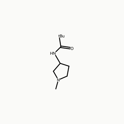 CN1CCC(NC(=O)C(C)(C)C)C1